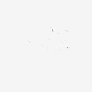 CN(C)C1CCN(c2cc(OC(F)F)c(Nc3nccc(-c4noc5ccccc45)n3)cc2[N+](=O)[O-])CC1